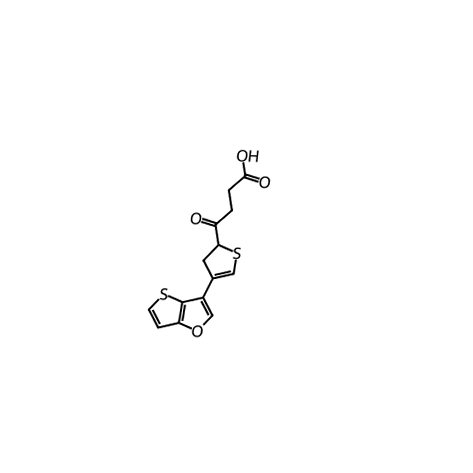 O=C(O)CCC(=O)C1CC(c2coc3ccsc23)=CS1